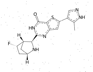 Cc1[nH]ncc1-c1cc2nc([C@H]3N[C@H]4C[C@@H]3[C@@H](F)C4)[nH]c(=O)c2s1